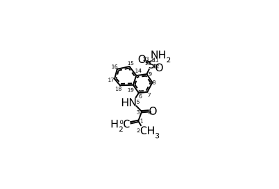 C=C(C)C(=O)Nc1ccc(S(N)(=O)=O)c2ccccc12